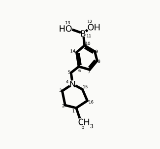 CC1CCN(Cc2cccc(B(O)O)c2)CC1